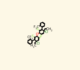 C=CC1(Cl)C=C(F)C(OC2C(F)=CC(Cl)(C=C)C(c3ccccc3C(F)(F)F)=C2F)C(F)=C1c1ccccc1C(F)(F)F